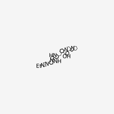 CCN1CCN(c2ccc(Nc3cc(Cc4cccc(N5CCc6c(cc7n6CCCC7)C5=O)c4CO)c[nH]c3=O)nc2)CC1